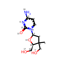 CC1(CO)CC(n2ccc(N)nc2=O)O[C@@H]1CO